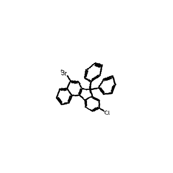 Clc1ccc2c(c1)C(c1ccccc1)(c1ccccc1)c1cc(Br)c3ccccc3c1-2